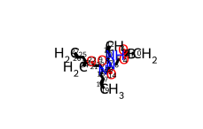 C=BC(=O)OCCN(C(=O)NC=C)C(=O)N(C/C=C/C)CCOC(=C)CC=C